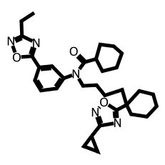 CCc1noc(-c2cccc(N(CCCCC3(c4nc(C5CC5)no4)CCCCC3)C(=O)C3CCCCC3)c2)n1